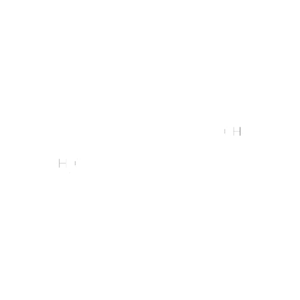 [CH]=CC=CC[CH2]